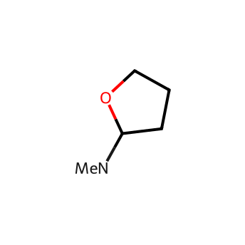 CNC1CCCO1